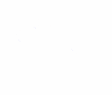 COc1ccc(CON=CCCc2ccc(OCC(=O)N3CCC4(CC3)CNC(=O)O4)cc2)cc1